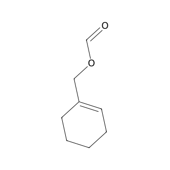 O=COCC1=CCCCC1